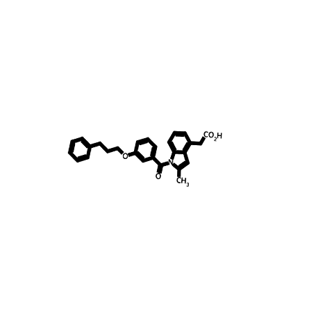 Cc1cc2c(CC(=O)O)cccc2n1C(=O)c1cccc(OCCCc2ccccc2)c1